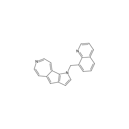 c1cnc2c(Cn3ccc4cc5ccnccc-5c43)cccc2c1